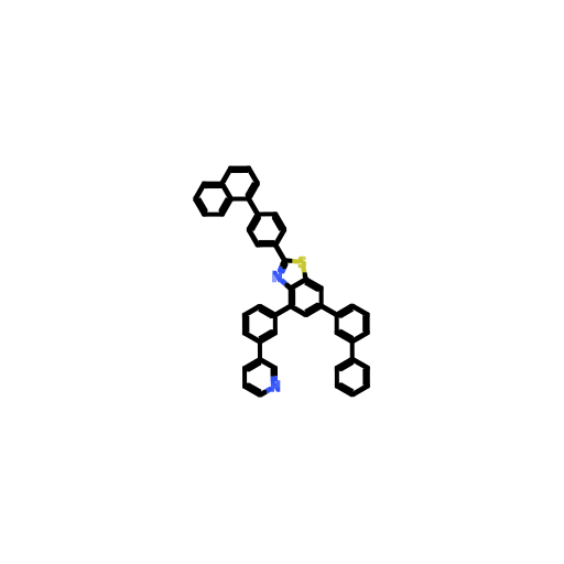 c1ccc(-c2cccc(-c3cc(-c4cccc(-c5cccnc5)c4)c4nc(-c5ccc(-c6cccc7ccccc67)cc5)sc4c3)c2)cc1